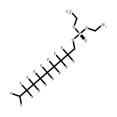 O=P(OCC(F)(F)F)(OCC(F)(F)F)OCC(F)(F)C(F)(F)C(F)(F)C(F)(F)C(F)(F)C(F)(F)C(F)(F)C(F)F